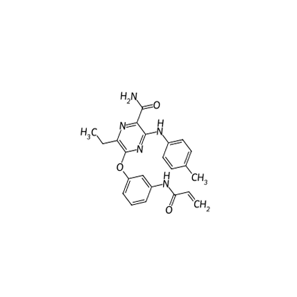 C=CC(=O)Nc1cccc(Oc2nc(Nc3ccc(C)cc3)c(C(N)=O)nc2CC)c1